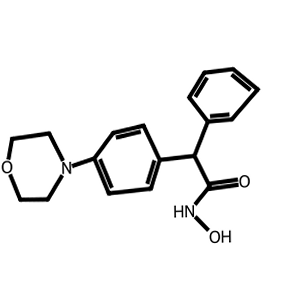 O=C(NO)C(c1ccccc1)c1ccc(N2CCOCC2)cc1